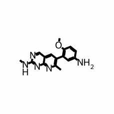 CNc1ncc2cc(-c3cc(N)ccc3OC)c(C)nc2n1